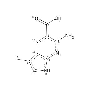 Cc1c[nH]c2nc(N)c(C(=O)O)nc12